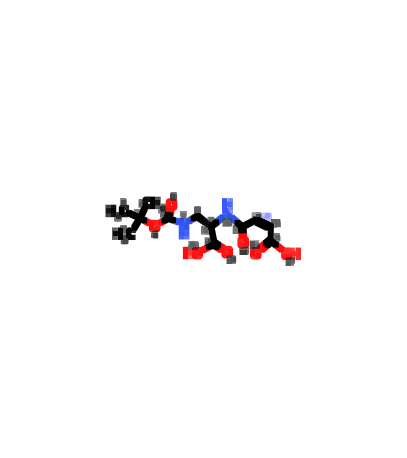 CC(C)(C)OC(=O)NC[C@@H](NC(=O)/C=C\C(=O)O)C(=O)O